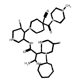 CN1CCN(C(=O)C2(C#N)CCN(C3C(F)CNCC3NC(=O)C(C(N)N)C3NCC(F)CN3C3CCCCCC3)CC2)CC1